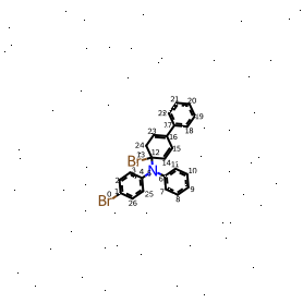 Brc1ccc(N(c2ccccc2)C2(Br)C=CC(c3ccccc3)=CC2)cc1